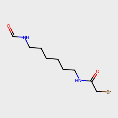 O=CNCCCCCCNC(=O)CBr